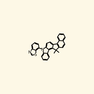 CC1(C)c2ccc3ccccc3c2-c2ccc3c(c21)c1ccccc1n3-c1cccc2ncsc12